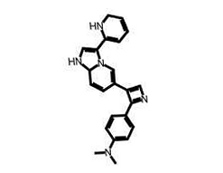 CN(C)c1ccc(C2=NC=C2C2=CN3C(C4=CC=CCN4)=CNC3C=C2)cc1